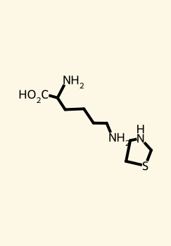 C1CSCN1.NCCCCC(N)C(=O)O